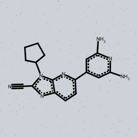 N#Cc1nc2ccc(-c3cc(N)nc(N)c3)nc2n1C1CCCC1